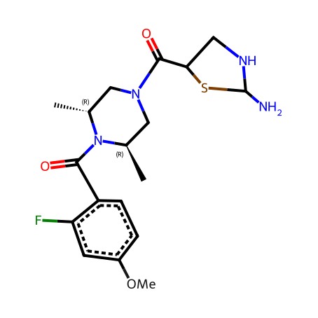 COc1ccc(C(=O)N2[C@H](C)CN(C(=O)C3CNC(N)S3)C[C@H]2C)c(F)c1